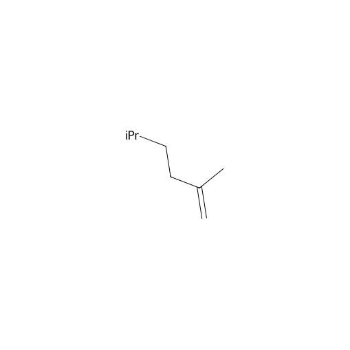 C=C(C)CCC(C)C